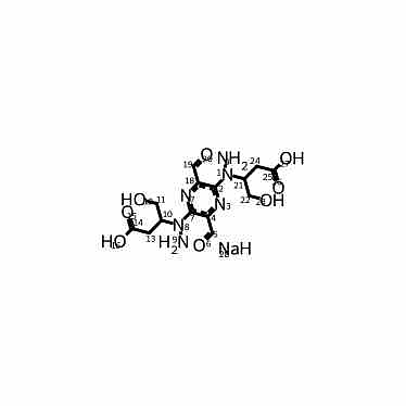 NN(c1nc(C=O)c(N(N)C(CO)CC(=O)O)nc1C=O)C(CO)CC(=O)O.[NaH]